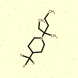 CCCC(C)(CC)N1CCC(C(F)(F)F)CC1